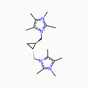 Cc1c(C)[n+](C[C@@H]2C[C@H]2C[n+]2c(C)c(C)n(C)c2C)c(C)n1C